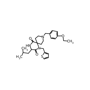 CCOc1ccc(CN2CCC3(CC2)C(=O)NC(CC(C)C)C(=O)N3Cc2cccs2)cc1